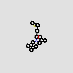 c1ccc2c(c1)-c1ccccc1C21c2ccccc2-c2ccc(N(c3ccc(-c4ccc(-c5cccc6c5sc5ccccc56)cc4)cc3)c3cccc4c5ccccc5c5ccccc5c34)cc21